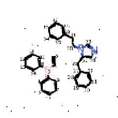 C=CB(c1ccccc1)c1ccccc1.c1ccc(CCn2cncc2Cc2ccccc2)cc1